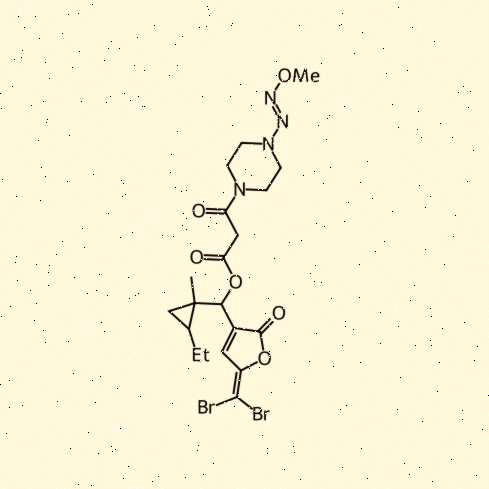 CCC1CC1(C)C(OC(=O)CC(=O)N1CCN(/N=N/OC)CC1)C1=CC(=C(Br)Br)OC1=O